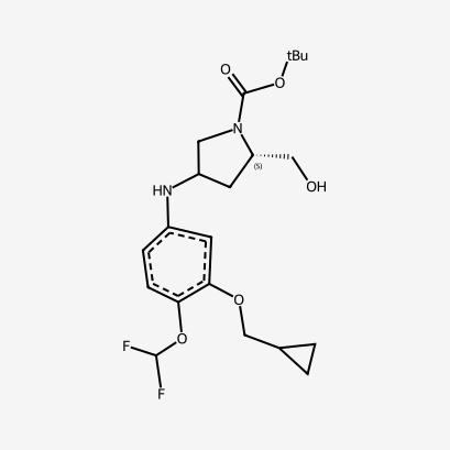 CC(C)(C)OC(=O)N1CC(Nc2ccc(OC(F)F)c(OCC3CC3)c2)C[C@H]1CO